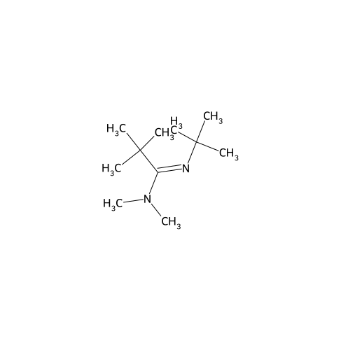 CN(C)/C(=N/C(C)(C)C)C(C)(C)C